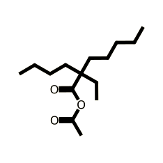 CCCCCC(CC)(CCCC)C(=O)OC(C)=O